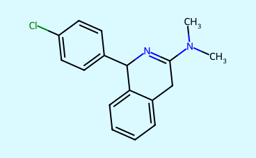 CN(C)C1=NC(c2ccc(Cl)cc2)c2ccccc2C1